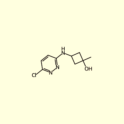 CC1(O)CC(Nc2ccc(Cl)nn2)C1